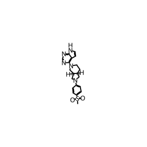 CS(=O)(=O)c1ccc(N2C[C@H]3CCN(c4ncnc5[nH]ccc45)C[C@H]3C2)cc1